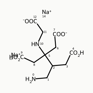 NCC(CC(=O)O)C(CC(=O)[O-])(CC(=O)O)NCC(=O)[O-].[Na+].[Na+]